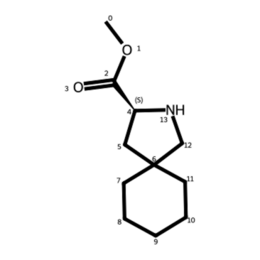 COC(=O)[C@@H]1CC2(CCCCC2)CN1